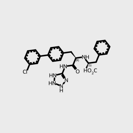 O=C(O)[C@H](Cc1ccccc1)N[C@H](Cc1ccc(-c2cccc(Cl)c2)cc1)C(=O)NC1=NNNN1